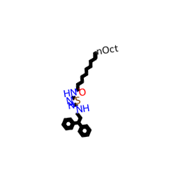 CCCCCCCCC=CCCCCCCCC(=O)Nc1nnc(NCCC(c2ccccc2)c2ccccc2)s1